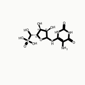 Nc1c(NC2O[C@H](C(O)P(=O)(O)O)[C@@H](O)[C@H]2O)[nH]c(=O)[nH]c1=O